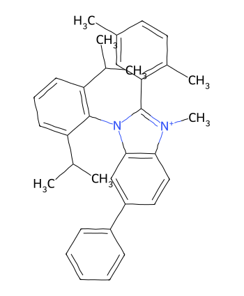 Cc1ccc(C)c(-c2n(-c3c(C(C)C)cccc3C(C)C)c3cc(-c4ccccc4)ccc3[n+]2C)c1